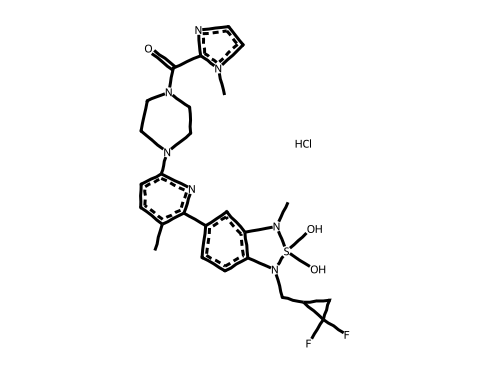 Cc1ccc(N2CCN(C(=O)c3nccn3C)CC2)nc1-c1ccc2c(c1)N(C)S(O)(O)N2CC1CC1(F)F.Cl